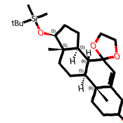 CC(C)(C)[Si](C)(C)O[C@H]1CC[C@H]2[C@H]3[C@H](CC[C@]12C)[C@@]1(C)CCC(O)CC1=CC31OCCO1